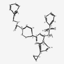 O=C(OCc1ccccc1)N1CCC(c2cc(NS(=O)(=O)c3cccnc3)n3ncc(C4CC4)c3n2)CC1